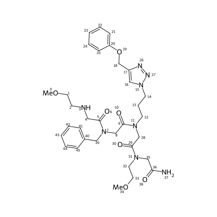 COCCNCC(=O)N(CC(=O)N(CCCn1cc(COc2ccccc2)nn1)CC(=O)N(CCOC)CC(N)=O)Cc1ccccc1